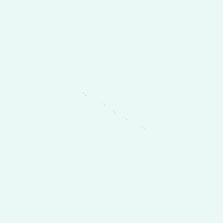 CCCNCCCNCC=CCNCCCNC(C)C